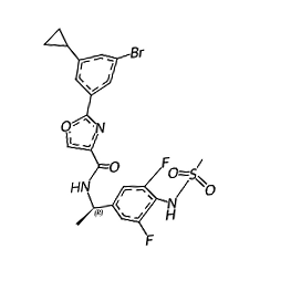 C[C@@H](NC(=O)c1coc(-c2cc(Br)cc(C3CC3)c2)n1)c1cc(F)c(NS(C)(=O)=O)c(F)c1